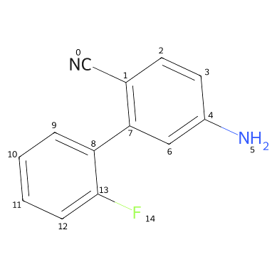 N#Cc1ccc(N)cc1-c1ccccc1F